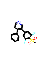 CS(=O)(=O)c1c(F)cc(-c2cnccc2-c2ccccc2)cc1F